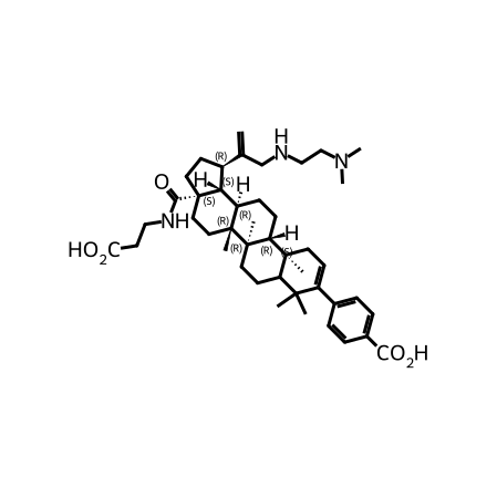 C=C(CNCCN(C)C)[C@@H]1CC[C@]2(C(=O)NCCC(=O)O)CC[C@]3(C)[C@H](CC[C@@H]4[C@@]5(C)CC=C(c6ccc(C(=O)O)cc6)C(C)(C)C5CC[C@]43C)[C@@H]12